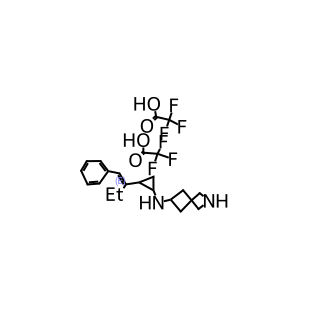 CC/C(=C\c1ccccc1)C1CC1NC1CC2(CNC2)C1.O=C(O)C(F)(F)F.O=C(O)C(F)(F)F